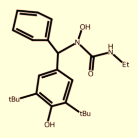 CCNC(=O)N(O)C(c1ccccc1)c1cc(C(C)(C)C)c(O)c(C(C)(C)C)c1